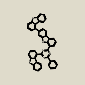 c1ccc(-c2nc(-c3cccc4c3oc3cc(-c5cccc6oc7ccccc7c56)ccc34)nc(-c3cccc4sc5ccccc5c34)n2)cc1